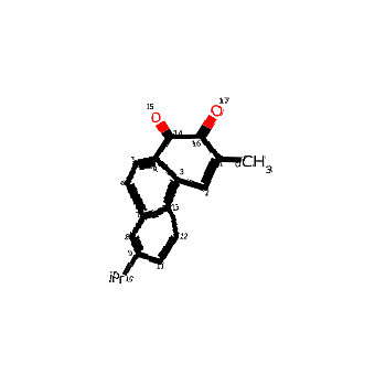 CC1=Cc2c(ccc3cc(C(C)C)ccc23)C(=O)C1=O